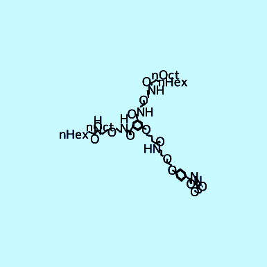 CCCCCCCCC(CCCCCC)C(=O)NCCOCCNC(=O)c1cc(OCCCC(=O)NCCOCCOc2ccc(-c3nnc(S(C)(=O)=O)o3)cc2)cc(C(=O)NCCOCCNC(=O)C(CCCCCC)CCCCCCCC)c1